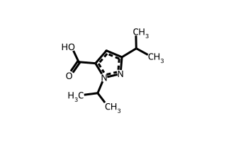 CC(C)c1cc(C(=O)O)n(C(C)C)n1